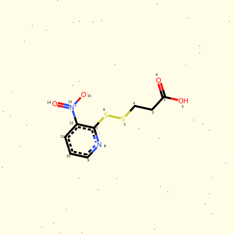 O=C(O)CCSSc1ncccc1[N+](=O)[O-]